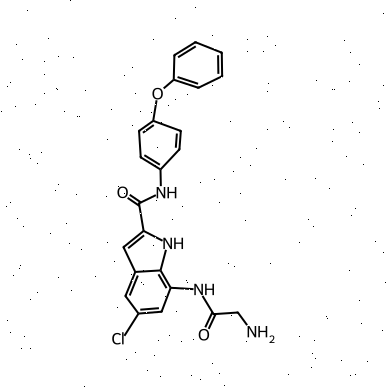 NCC(=O)Nc1cc(Cl)cc2cc(C(=O)Nc3ccc(Oc4ccccc4)cc3)[nH]c12